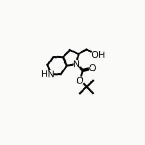 CC(C)(C)OC(=O)N1C(CO)CC2CCNCC21